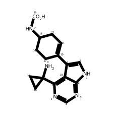 NC1(c2ncnc3[nH]cc(C4=CCC(NC(=O)O)CC4)c23)CC1